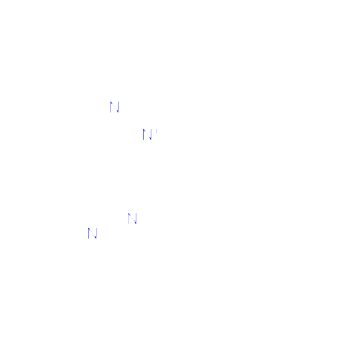 CC1=CC=CC(=[N+]=[N-])C1=[N+]=[N-]